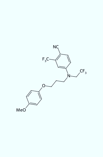 COc1ccc(OCCCN(CC(F)(F)F)c2ccc(C#N)c(C(F)(F)F)c2)cc1